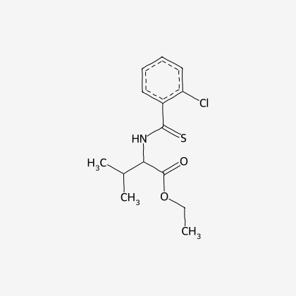 CCOC(=O)C(NC(=S)c1ccccc1Cl)C(C)C